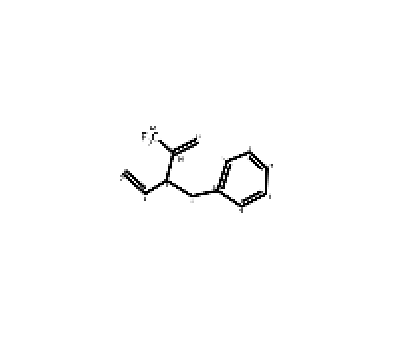 C=CC(Cc1ccccc1)C(=C)C(F)(F)F